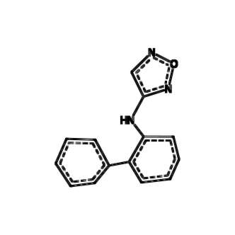 c1ccc(-c2ccccc2Nc2cnon2)cc1